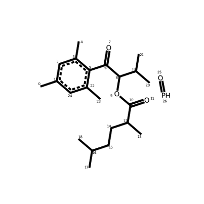 Cc1cc(C)c(C(=O)C(OC(=O)C(C)CCC(C)C)C(C)C)c(C)c1.O=P